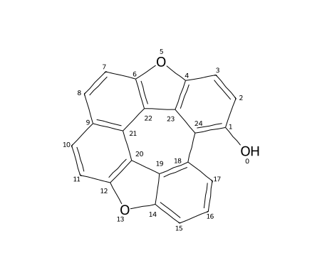 Oc1ccc2oc3ccc4ccc5oc6cccc7c6c5c4c3c2c1-7